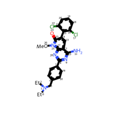 CCN(CC)Cc1ccc(-c2nc(N)c3cc(-c4c(Cl)cccc4Cl)c(=O)n(OC)c3n2)cc1